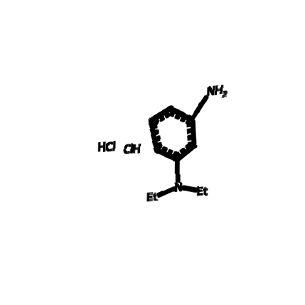 CCN(CC)c1cccc(N)c1.Cl.Cl